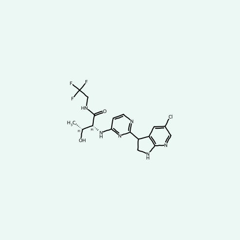 C[C@@H](O)[C@@H](Nc1ccnc(C2CNc3ncc(Cl)cc32)n1)C(=O)NCC(F)(F)F